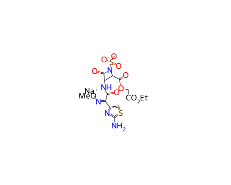 CCOC(=O)COC(=O)C1C(NC(=O)C(=NOC)c2csc(N)n2)C(=O)N1S(=O)(=O)[O-].[Na+]